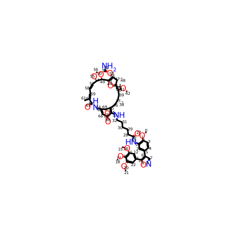 COc1ccc(-c2cnoc2-c2cc(OC)c(OC)c(OC)c2)cc1NC(=O)CCCCCNC1=C2C[C@@H](C)C[C@H](OC)[C@H]3OC(=C[C@@H]3C)[C@H](OC(N)=O)[C@@H](OC)/C=C\C=C(/C)C(=O)NC(=CC1=O)C2=O